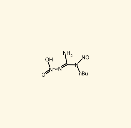 CCCCN(N=O)C(N)=N[N+](=O)O